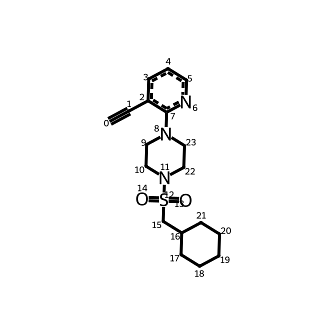 C#Cc1cccnc1N1CCN(S(=O)(=O)CC2CCCCC2)CC1